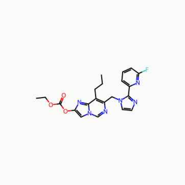 CCCc1c(Cn2ccnc2-c2cccc(F)n2)ncn2cc(OC(=O)OCC)nc12